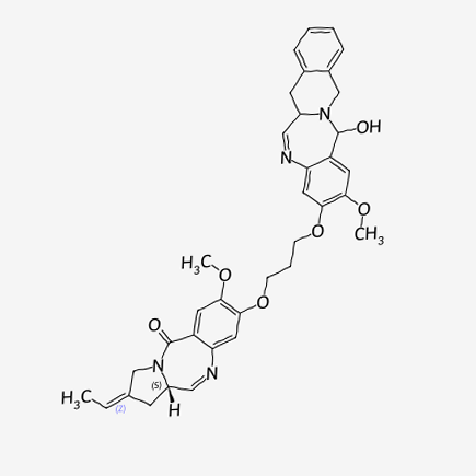 C/C=C1/C[C@H]2C=Nc3cc(OCCCOc4cc5c(cc4OC)C(O)N4Cc6ccccc6CC4C=N5)c(OC)cc3C(=O)N2C1